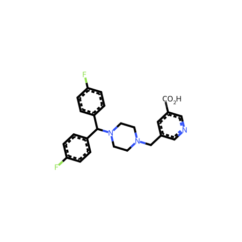 O=C(O)c1cncc(CN2CCN(C(c3ccc(F)cc3)c3ccc(F)cc3)CC2)c1